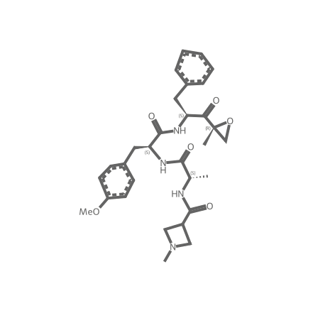 COc1ccc(C[C@H](NC(=O)[C@H](C)NC(=O)C2CN(C)C2)C(=O)N[C@@H](Cc2ccccc2)C(=O)[C@@]2(C)CO2)cc1